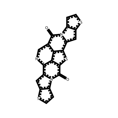 O=c1c2sc3c4c(cnc(c24)c2cc4sccc4n12)c(=O)n1c2ccsc2cc31